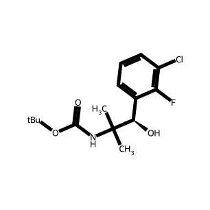 CC(C)(C)OC(=O)NC(C)(C)[C@H](O)c1cccc(Cl)c1F